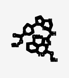 COc1cccc(F)c1-c1cc(Nc2cnc3ccn(C4CCN(C(=O)OC(C)(C)C)CC4)c3n2)nn1C(=O)OC(C)(C)C